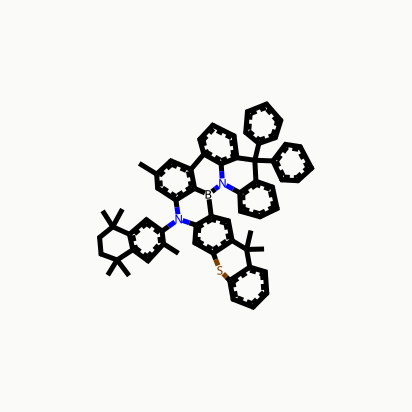 Cc1cc2c3c(c1)N(c1cc4c(cc1C)C(C)(C)CCC4(C)C)c1cc4c(cc1B3N1c3ccccc3C(c3ccccc3)(c3ccccc3)c3cccc-2c31)C(C)(C)c1ccccc1S4